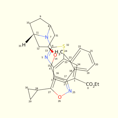 CCOC(=O)c1ccc2nc(N3C4CC[C@H]3C[C@H](OCc3c(-c5ccccc5C)noc3C3CC3)C4)sc2c1